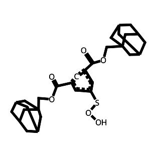 O=C(OCC12CC3CC(CC(C3)C1)C2)c1cc(SOO)cc(C(=O)OCC23CC4CC(CC(C4)C2)C3)c1